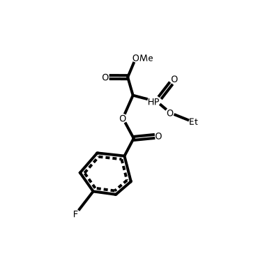 CCO[PH](=O)C(OC(=O)c1ccc(F)cc1)C(=O)OC